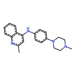 Cc1cc(Nc2ccc(N3CCN(C)CC3)cc2)c2ccccc2n1